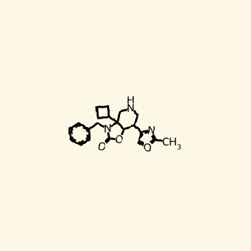 Cc1nc(C2CNCC3(C4CCC4)C2OC(=O)N3Cc2ccccc2)co1